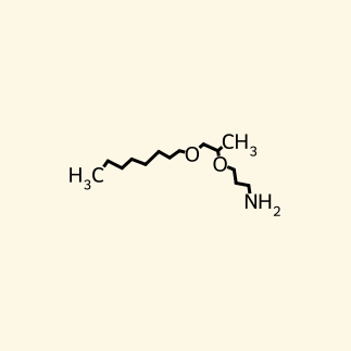 CCCCCCCCOCC(C)OCCCN